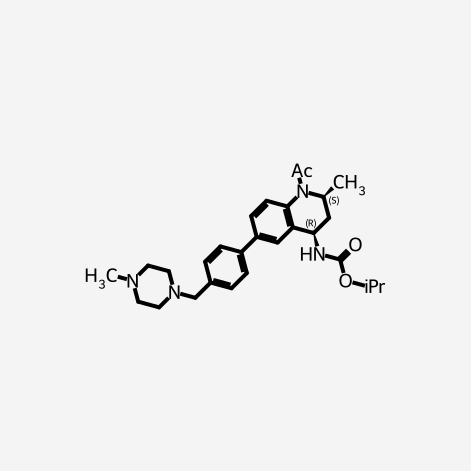 CC(=O)N1c2ccc(-c3ccc(CN4CCN(C)CC4)cc3)cc2[C@H](NC(=O)OC(C)C)C[C@@H]1C